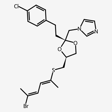 C/C(Br)=C\C=C(/C)SC[C@@H]1CO[C@@](CCc2ccc(Cl)cc2)(Cn2ccnc2)O1